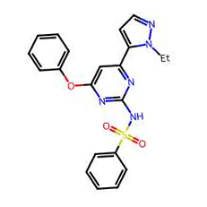 CCn1nccc1-c1cc(Oc2ccccc2)nc(NS(=O)(=O)c2ccccc2)n1